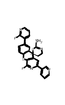 NC1=NCC[C@]2(O1)c1cc(-c3cccnc3F)ccc1Oc1c2cc(-c2cccnc2)nc1F